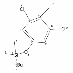 CC(C)(C)[Si](C)(C)Oc1cc(Cl)c(I)c(Cl)c1